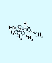 C=Cc1ccc([C@]2(C)C(F)OCC(=N)C2C)cc1-c1cc(C#CC)ccc1C